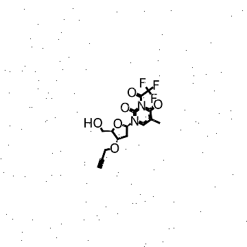 C#CCO[C@H]1C[C@H](n2cc(C)c(=O)n(C(=O)C(F)(F)F)c2=O)O[C@@H]1CO